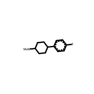 CNC1CCC(c2ccc(F)cc2)CC1